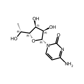 C[C@@H](O)[C@H]1O[C@@H](n2ccc(N)nc2=O)[C@H](O)[C@@H]1O